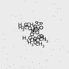 CC(C)(C)c1ccc(N2B3c4cccc5c4N(c4ccccc4C54c5ccccc5-c5ccccc54)c4cc(-c5ccccc5)cc(c43)-c3c2ccc2c3-c3cc4c(cc3C2(C)C)C(C)(C)CCC4(C)C)cc1